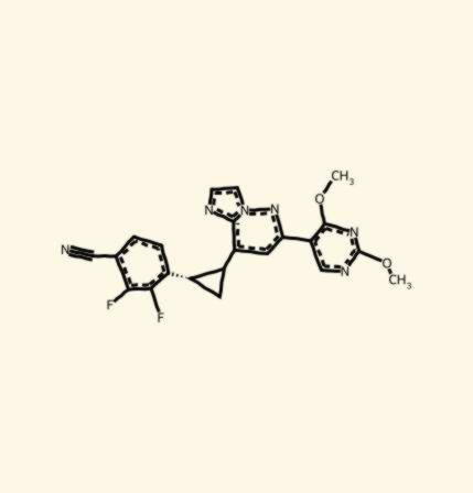 COc1ncc(-c2cc(C3C[C@@H]3c3ccc(C#N)c(F)c3F)c3nccn3n2)c(OC)n1